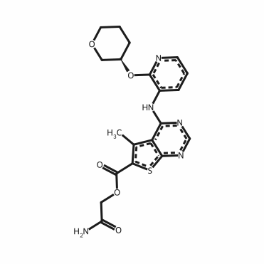 Cc1c(C(=O)OCC(N)=O)sc2ncnc(Nc3cccnc3O[C@@H]3CCCOC3)c12